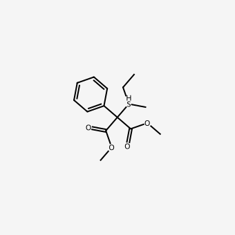 CC[SH](C)C(C(=O)OC)(C(=O)OC)c1ccccc1